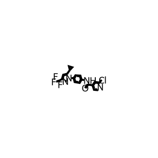 O=C(Nc1ccc(-n2nc(C(F)(F)F)cc2C2CC2)cc1)c1ccnc(Cl)c1